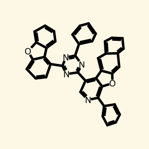 c1ccc(-c2nc(-c3cccc4oc5ccccc5c34)nc(-c3cnc(-c4ccccc4)c4oc5cc6ccccc6cc5c34)n2)cc1